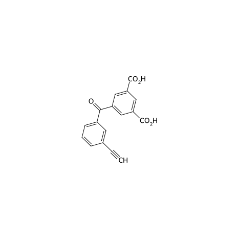 C#Cc1cccc(C(=O)c2cc(C(=O)O)cc(C(=O)O)c2)c1